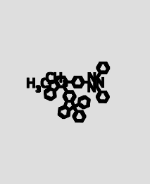 CC1(C)c2ccccc2-c2c1ccc(-c1ccc(-c3nc(-c4ccccc4)nc(-c4ccccc4)n3)cc1)c2-c1ccc2c(c1)-c1ccccc1C2(c1ccccc1)c1ccccc1